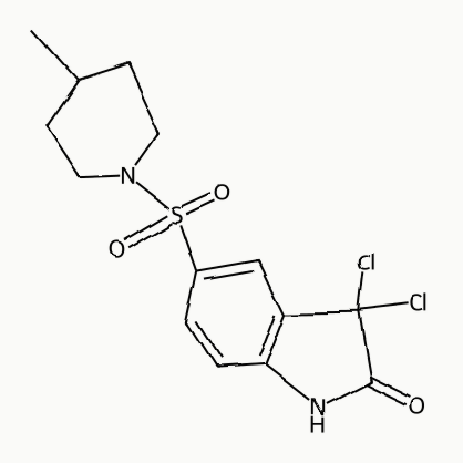 CC1CCN(S(=O)(=O)c2ccc3c(c2)C(Cl)(Cl)C(=O)N3)CC1